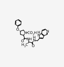 CC(NC(=O)C1C[C@H](Oc2ccccc2)CN1C(=O)O)C(=O)NCc1cc2cnccc2[nH]1